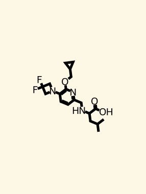 CC(C)CC(NCc1ccc(N2CC(F)(F)C2)c(OCC2CC2)n1)C(=O)O